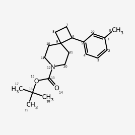 Cc1cccc(C2CCC23CCN(C(=O)OC(C)(C)C)CC3)c1